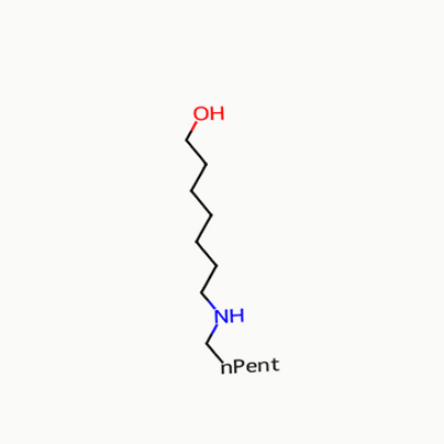 CCCCCCNCCCCCCCO